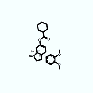 COc1ccc([C@@]23CC=C(OC(=O)C4CCCCC4)C[C@@H]2N(C)CC3)cc1OC